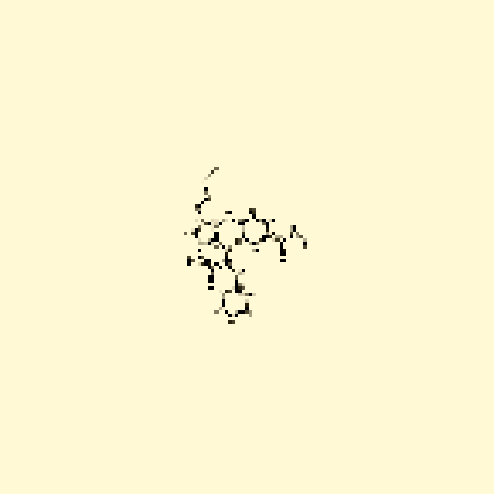 CCCCc1ncc(C=C(Cc2ccccc2)C(=O)O)n1Cc1ccc(C(=O)OC)cc1